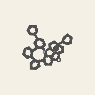 c1ccc(-c2ccc(-n3c4ccc(-c5ccccc5)cc4c4ccccc4c4ccccc4c4ccc5oc6ccccc6c5c43)cc2)cc1